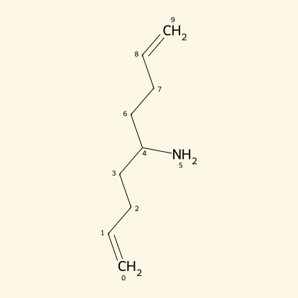 C=CCCC(N)CCC=C